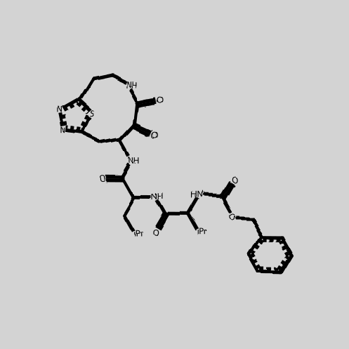 CC(C)CC(NC(=O)C(NC(=O)OCc1ccccc1)C(C)C)C(=O)NC1Cc2nnc(s2)CCNC(=O)C1=O